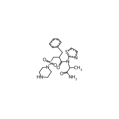 CC(C(N)=O)N(C(=O)C(Cc1ccccc1)CS(=O)(=O)N1CCNCC1)c1nccs1